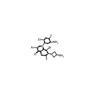 CCc1cc(F)c(N)cc1-n1cc(C(C)=O)c(=O)c2cc(F)c(N3CC(N)C3)c(Br)c21